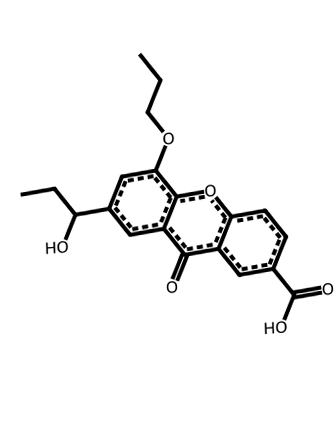 CCCOc1cc(C(O)CC)cc2c(=O)c3cc(C(=O)O)ccc3oc12